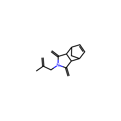 C=C(C)CN1C(=C)C2C3C=CC(C3)C2C1=C